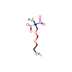 CCCOCOCC(C)([N+](=O)[O-])[N+](=O)[O-]